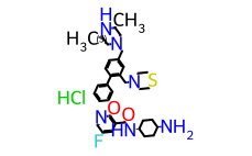 CC1CN(Cc2ccc(-c3cccc(Oc4ncc(F)cc4C(=O)N[C@H]4CC[C@H](N)CC4)c3)c(CN3CCSCC3)c2)C[C@H](C)N1.Cl